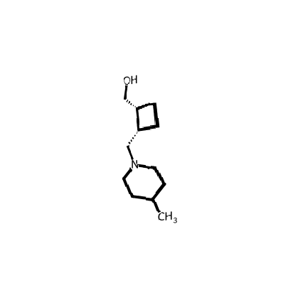 CC1CCN(C[C@H]2CC[C@H]2CO)CC1